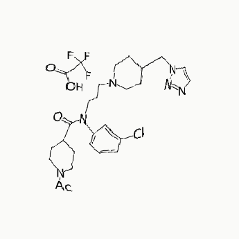 CC(=O)N1CCC(C(=O)N(CCCN2CCC(Cn3ccnn3)CC2)c2cccc(Cl)c2)CC1.O=C(O)C(F)(F)F